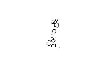 Cc1ccccc1Oc1ccc(OCc2ccc3c(c2)OCO3)cc1